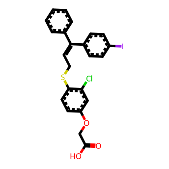 O=C(O)COc1ccc(SC/C=C(/c2ccccc2)c2ccc(I)cc2)c(Cl)c1